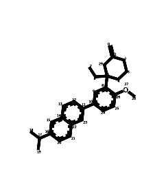 C=C1CCCC(CC)(c2cc(-c3ccc4cc(C(C)C)ccc4c3)ccc2OC)C1